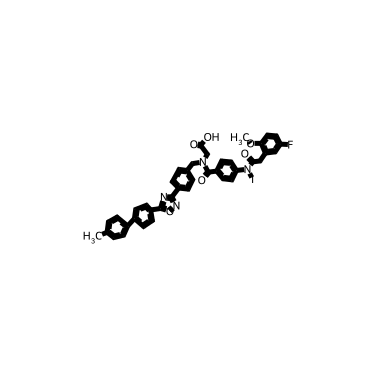 COc1ccc(F)cc1CC(=O)N(I)c1ccc(C(=O)N(CC(=O)O)Cc2ccc(-c3noc(-c4ccc(-c5ccc(C)cc5)cc4)n3)cc2)cc1